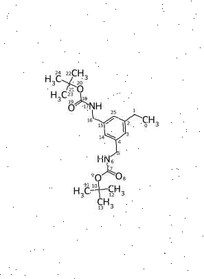 CCc1cc(CNC(=O)OC(C)(C)C)cc(CNC(=O)OC(C)(C)C)c1